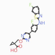 O=C(O)C1(COc2ncc(-c3ccc(Nc4nc5ccc(F)cc5s4)c(F)c3)cn2)CC1